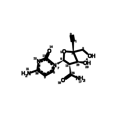 C#C[C@]1(CO)O[C@@H](n2ccc(N)nc2=O)[C@@H](C(N)=O)[C@@H]1O